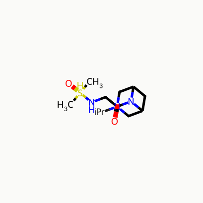 CC(C)N1CC2CC(C1)N2C(=O)CN[SH](C)(C)=O